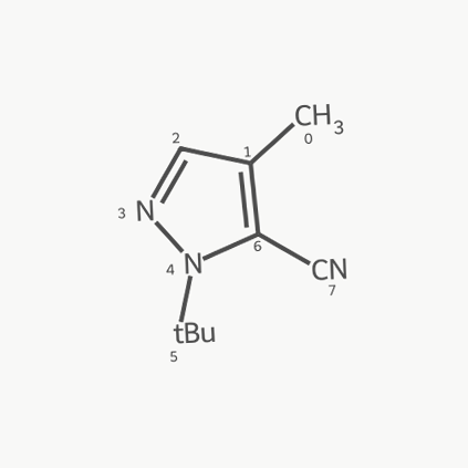 Cc1cnn(C(C)(C)C)c1C#N